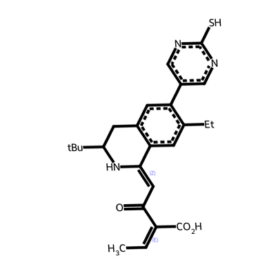 C/C=C(/C(=O)O)C(=O)/C=C1\NC(C(C)(C)C)Cc2cc(-c3cnc(S)nc3)c(CC)cc21